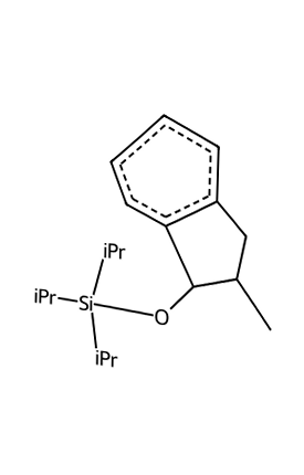 CC1Cc2ccccc2C1O[Si](C(C)C)(C(C)C)C(C)C